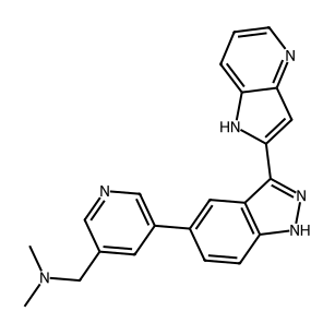 CN(C)Cc1cncc(-c2ccc3[nH]nc(-c4cc5ncccc5[nH]4)c3c2)c1